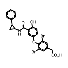 O=C(O)Cc1cc(Br)c(Oc2ccc(O)c(C(=O)NC3CC3c3ccccc3)c2)c(Br)c1